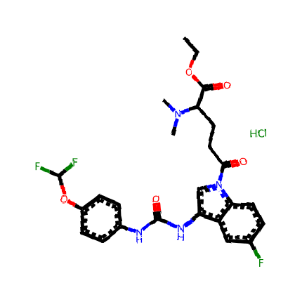 CCOC(=O)C(CCC(=O)n1cc(NC(=O)Nc2ccc(OC(F)F)cc2)c2cc(F)ccc21)N(C)C.Cl